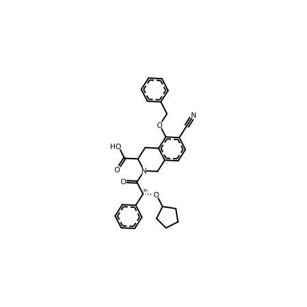 N#Cc1ccc2c(c1OCc1ccccc1)CC(C(=O)O)N(C(=O)[C@H](OC1CCCC1)c1ccccc1)C2